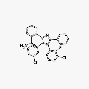 NC(=O)c1ccccc1-c1nc(-c2ccccc2)n(-c2cccc(Cl)c2F)c1-c1cccc(Cl)c1